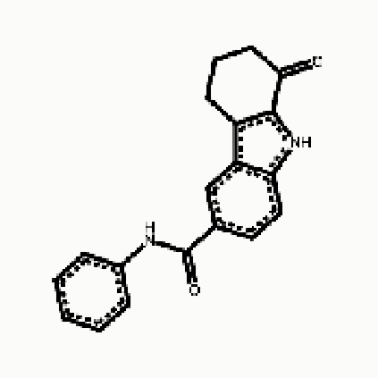 O=C(Nc1ccccc1)c1ccc2[nH]c3c(c2c1)CCCC3=O